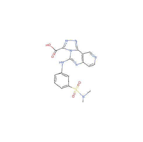 CN(C)S(=O)(=O)c1cccc(Nc2nc3ccncc3c3nnc(C(=O)O)n23)c1